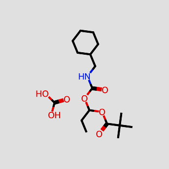 CCC(OC(=O)NCC1CCCCC1)OC(=O)C(C)(C)C.O=C(O)O